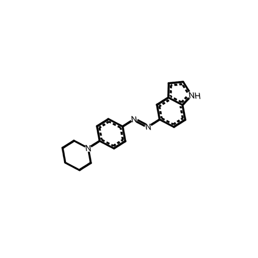 c1cc2cc(N=Nc3ccc(N4CCCCC4)cc3)ccc2[nH]1